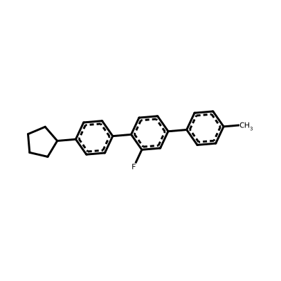 Cc1ccc(-c2ccc(-c3ccc(C4CCCC4)cc3)c(F)c2)cc1